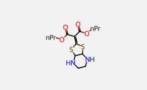 CCCOC(=O)C(C(=O)OCCC)=C1SC2NCCNC2S1